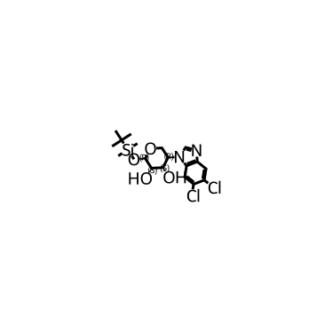 CC(C)(C)[Si](C)(C)O[C@H]1OC[C@@H](n2cnc3cc(Cl)c(Cl)cc32)[C@H](O)[C@@H]1O